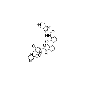 COc1cc(C(=O)Nc2cccc(-c3cccc(NC(=O)c4nc5c(n4C)CCN(C)C5)c3Cl)c2C)ncc1CN1C=CN=CC1=C=O